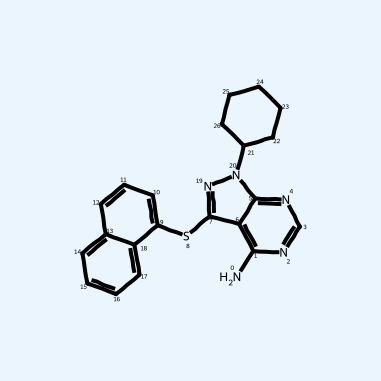 Nc1ncnc2c1c(Sc1cccc3ccccc13)nn2C1CCCCC1